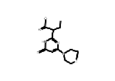 CCC(C(=O)O)c1nc(N2CCOCC2)cc(=O)[nH]1